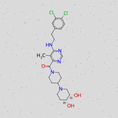 Cc1c(NCCc2ccc(Cl)c(Cl)c2)ncnc1C(=O)N1CCC(N2CC[C@@H](O)[C@@H](O)C2)CC1